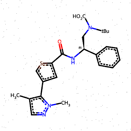 Cc1cnn(C)c1-c1csc(C(=O)N[C@@H](CN(C(=O)O)C(C)(C)C)c2ccccc2)c1